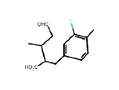 Cc1ccc(CC(C(=O)O)C(C)CC=O)cc1F